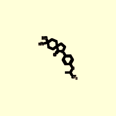 CCCC1(O)CCC2(CCN(c3ccc(OC(C)C(F)(F)F)cc3)C2=O)CC1